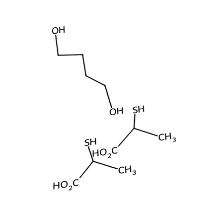 CC(S)C(=O)O.CC(S)C(=O)O.OCCCCO